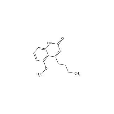 CCCCc1cc(=O)[nH]c2cccc(OC)c12